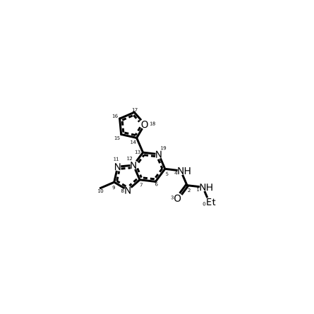 CCNC(=O)Nc1cc2nc(C)nn2c(-c2ccco2)n1